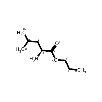 CCCOC(=O)[C@@H](N)CC(C)C